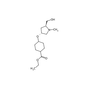 CCOC(=O)C1CCC(O[C@@H]2C[C@@H](CO)N(C)C2)CC1